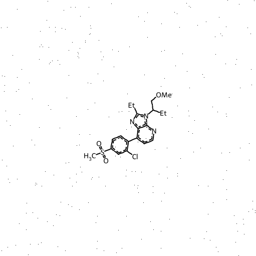 CCc1nc2c(-c3ccc(S(C)(=O)=O)cc3Cl)ccnc2n1C(CC)COC